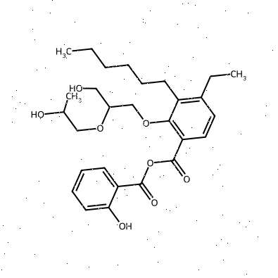 CCCCCCc1c(CC)ccc(C(=O)OC(=O)c2ccccc2O)c1OCC(CO)OCC(C)O